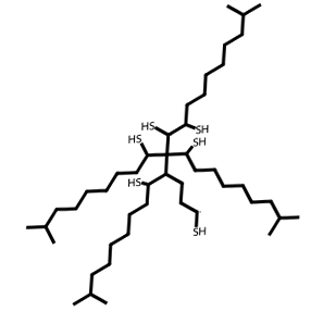 CC(C)CCCCCCC(S)[C](S)C(C(S)CCCCCCC(C)C)(C(S)CCCCCCC(C)C)C(CC[CH]S)C(S)CCCCCCC(C)C